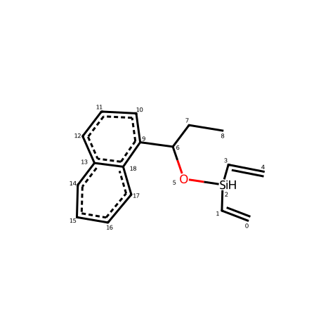 C=C[SiH](C=C)OC(CC)c1cccc2ccccc12